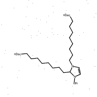 CCCCCCCCCCCCCCCCCCC1N(CCC)C=CN1CCCCCCCCCCCCCCCCCC